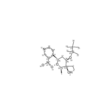 CC[C@]1(O)[C@@H](C)O[C@@H](c2ccncc2[N+](=O)[O-])C[C@H]1O[Si](C)(C)C(C)(C)C